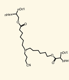 CCCCCCCCC(CCCCCC)COC(=O)CCCCCN(CCCC#N)CCCCCCOC(=O)C(CCCCCC)CCCCCCCC